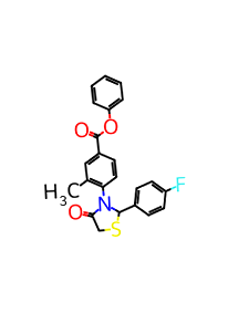 Cc1cc(C(=O)Oc2ccccc2)ccc1N1C(=O)CSC1c1ccc(F)cc1